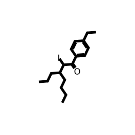 CCCCC(CCC)C(I)C(=O)c1ccc(CC)cc1